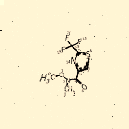 CON(C)C(=O)c1csc(C(F)(F)F)n1